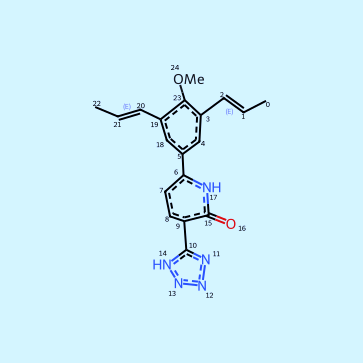 C/C=C/c1cc(-c2ccc(-c3nnn[nH]3)c(=O)[nH]2)cc(/C=C/C)c1OC